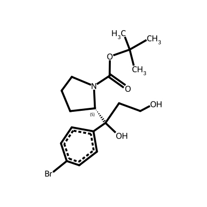 CC(C)(C)OC(=O)N1CCC[C@H]1C(O)(CCO)c1ccc(Br)cc1